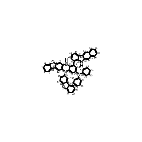 B1c2cc3sc4ccccc4c3cc2N(c2ccc3sc4ccccc4c3c2)c2cc(N(c3ccccc3)c3ccccc3)cc(-c3cccc4c3[nH]c3cc5ccccc5cc34)c21